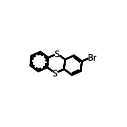 BrC1=CC2Sc3ccccc3SC2C=C1